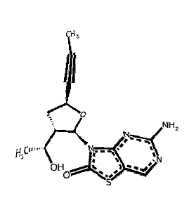 CC#C[C@@H]1C[C@@H]([C@@H](C)O)[C@H](n2c(=O)sc3cnc(N)nc32)O1